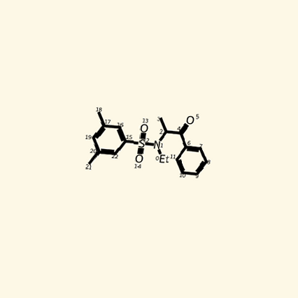 CCN(C(C)C(=O)c1ccccc1)S(=O)(=O)c1cc(C)cc(C)c1